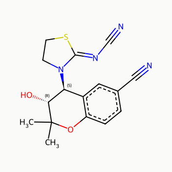 CC1(C)Oc2ccc(C#N)cc2[C@H](N2CCSC2=NC#N)[C@H]1O